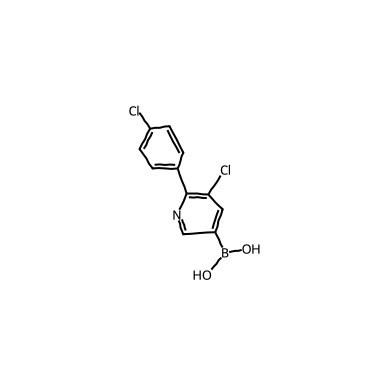 OB(O)c1cnc(-c2ccc(Cl)cc2)c(Cl)c1